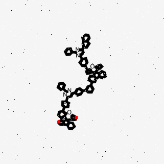 C1=CC2=C(CC1)C1(c3ccccc3Oc3c(-c4ccc(-c5cc(-c6ccc(-c7cccc(-c8ccc9c(c8)-c8ccccc8C98c9ccccc9Oc9c(-c%10ccc(-c%11cc(-c%12ccc%13ccccc%13c%12)nc(-c%12ccccc%12)n%11)cc%10)cccc98)c7)cc6)nc(-c6ccccc6)n5)cc4)cccc31)c1ccccc12